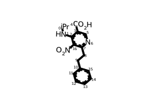 CC(C)Nc1c(C(=O)O)cnc(CCc2ccccc2)c1[N+](=O)[O-]